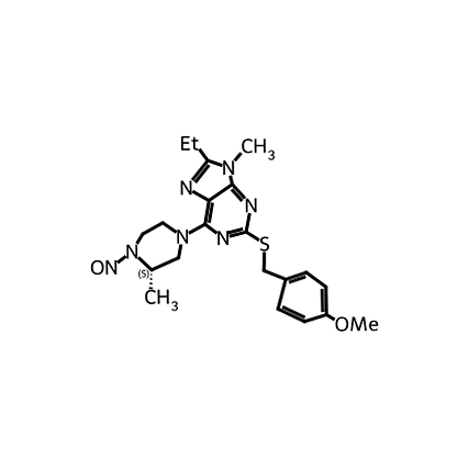 CCc1nc2c(N3CCN(N=O)[C@@H](C)C3)nc(SCc3ccc(OC)cc3)nc2n1C